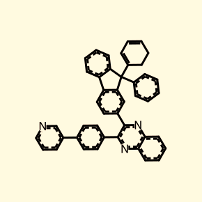 C1=CCCC(C2(c3ccccc3)c3ccccc3-c3ccc(-c4nc5ccccc5nc4-c4ccc(-c5cccnc5)cc4)cc32)=C1